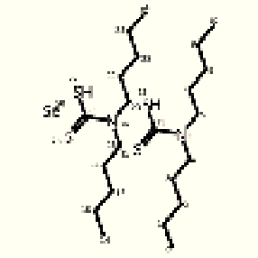 CCCCCN(CCCCC)C(=S)S.CCCCCN(CCCCC)C(=S)S.[Se]